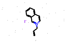 C=CC[n+]1ccc2ccccc2c1.[I-]